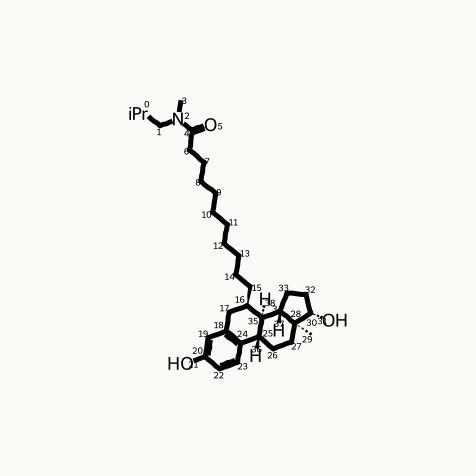 CC(C)CN(C)C(=O)CCCCCCCCCC[C@@H]1Cc2cc(O)ccc2[C@H]2CC[C@]3(C)[C@@H](O)CC[C@H]3[C@H]12